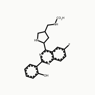 O=C(O)NCC1CNC(c2nc(-c3ccccc3O)nc3ccc(F)cc23)C1